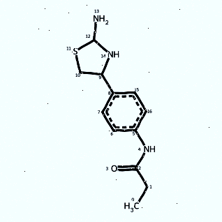 CCC(=O)Nc1ccc(C2CSC(N)N2)cc1